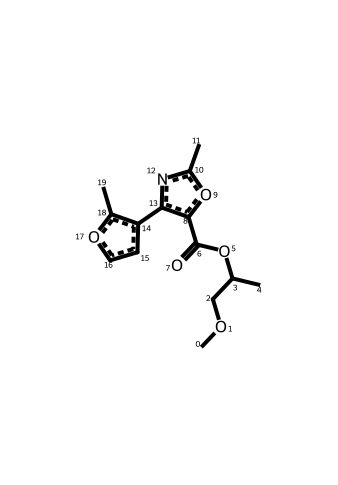 COCC(C)OC(=O)c1oc(C)nc1-c1ccoc1C